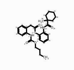 CCCCOC(=O)Nc1ccccc1CC(=O)Sc1ccccc1NC(=O)C1(C)CCCCC1